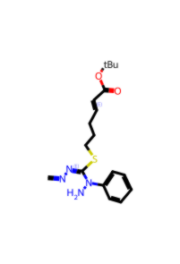 C=N/N=C(/SCCC/C=C/C(=O)OC(C)(C)C)N(N)c1ccccc1